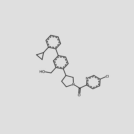 O=C(c1ccc(Cl)cn1)N1CCC(c2ccc(-c3ccccc3C3CC3)cc2CO)C1